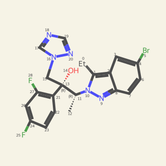 CCc1c2cc(Br)ccc2nn1[C@H](C)[C@](O)(Cn1cncn1)c1ccc(F)cc1F